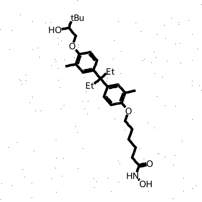 CCC(CC)(c1ccc(OCCCCCC(=O)NO)c(C)c1)c1ccc(OCC(O)C(C)(C)C)c(C)c1